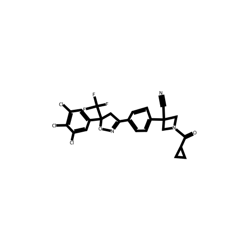 N#CC1(c2ccc(C3=NOC(c4cc(Cl)c(Cl)c(Cl)c4)(C(F)(F)F)C3)cc2)CN(C(=O)C2CC2)C1